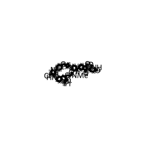 CNC(=O)COc1cc2cc(Nc3nc(N4CCC(OC5CC(N6CCC(F)(c7ccc8c(c7)C(=O)N([C@@H]7CCC(=O)NC7=O)C8=O)CC6)C5)CC4)ncc3Cl)ccc2n(C(C)C)c1=O